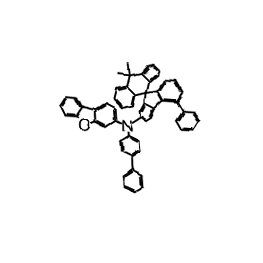 CC1(C)c2ccccc2C2(c3cc(N(c4ccc(-c5ccccc5)cc4)c4ccc5c(c4)oc4ccccc45)ccc3-c3c(-c4ccccc4)cccc32)c2ccccc21